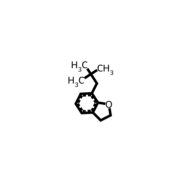 CC(C)(C)Cc1cccc2c1OCC2